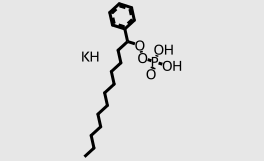 CCCCCCCCCCCC(OOP(=O)(O)O)c1ccccc1.[KH]